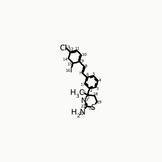 CC1(c2cccc(/C=C/C3=CC=C(Cl)CC3I)c2)CCSC(N)=N1